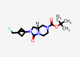 CC(C)(C)OC(=O)N1CCN2C(=O)N(C34CC(CF)(C3)C4)C[C@@H]2C1